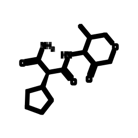 CC1COCC(=O)C1NC(=O)[C@H](C(N)=O)C1CCCC1